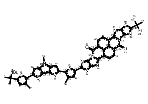 CCCCC(C)(C)c1cc(C)c(-c2cc3c(s2)c2sc(-c4sc(-c5nc6c(nc7c8ccc9c(=O)n%10c%11nc(C(C)(CC)CC)sc%11nc%10c%10ccc(c(=O)n67)c8c9%10)s5)cc4C)cc2n3C)s1